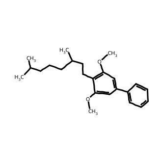 COc1cc(-c2ccccc2)cc(OC)c1CCC(C)CCCC(C)C